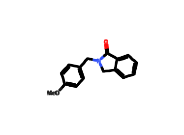 COc1ccc(CN2Cc3ccccc3C2=O)cc1